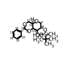 CC(C)(C)[Si](C)(C)O[C@H]1CO[C@@H]2CO[C@@H](c3ccccc3)OC2[C@@H]1O